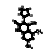 Cc1nc(N)nc2[nH]c(=O)c(-c3c[nH]nn3)c(C(C)C)c12